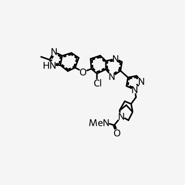 CNC(=O)N1CC2CC1CC2Cn1cc(-c2cnc3ccc(Oc4ccc5nc(C)[nH]c5c4)c(Cl)c3n2)cn1